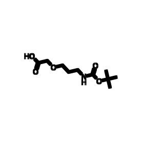 CC(C)(C)OC(=O)NCCCOCC(=O)O